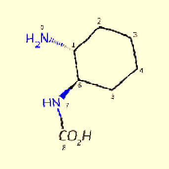 N[C@@H]1CCCC[C@H]1NC(=O)O